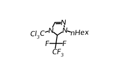 CCCCCCN1N=CN(C(Cl)(Cl)Cl)C1C(F)(F)C(F)(F)F